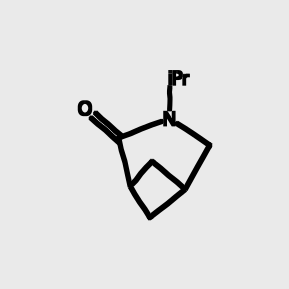 CC(C)N1CC2CC(C2)C1=O